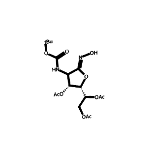 CC(=O)OCC(OC(C)=O)[C@H]1O/C(=N\O)C(NC(=O)OC(C)(C)C)[C@H]1OC(C)=O